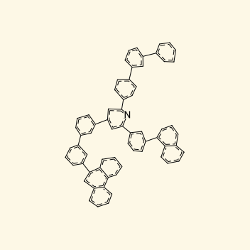 c1ccc(-c2cccc(-c3ccc(-c4cc(-c5cccc(-c6cccc(-c7cc8ccccc8c8ccccc78)c6)c5)cc(-c5cccc(-c6cccc7ccccc67)c5)n4)cc3)c2)cc1